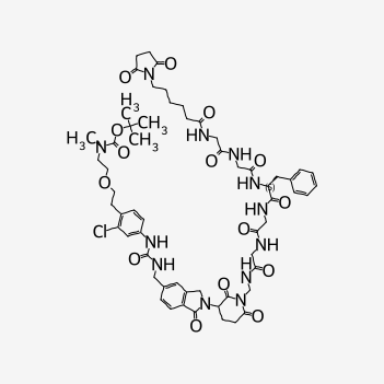 CN(CCOCCc1ccc(NC(=O)NCc2ccc3c(c2)CN(C2CCC(=O)N(CNC(=O)CNC(=O)CNC(=O)[C@H](Cc4ccccc4)NC(=O)CNC(=O)CNC(=O)CCCCCN4C(=O)CCC4=O)C2=O)C3=O)cc1Cl)C(=O)OC(C)(C)C